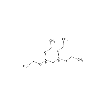 CCO[SiH](C[SiH](OCC)OCC)OCC